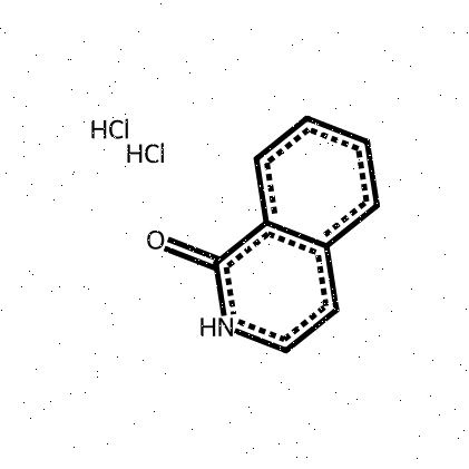 Cl.Cl.O=c1[nH]ccc2ccccc12